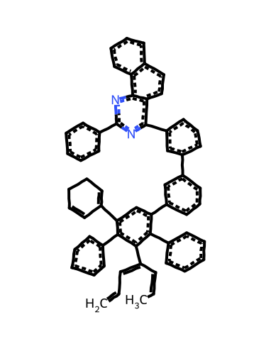 C=C/C=C(\C=C/C)c1c(-c2ccccc2)c(C2=CCCC=C2)cc(-c2cccc(-c3cccc(-c4nc(-c5ccccc5)nc5c4ccc4ccccc45)c3)c2)c1-c1ccccc1